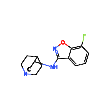 Fc1cccc2c(NC3CN4CCC3CC4)noc12